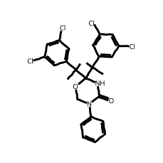 CC(C)(c1cc(Cl)cc(Cl)c1)C1(C(C)(C)c2cc(Cl)cc(Cl)c2)NC(=O)N(c2ccccc2)CO1